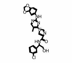 Cc1cnc(Nc2ccc3c(c2)OCO3)nc1-n1cnc(C(=O)NC(CO)c2cccc(Cl)c2)c1